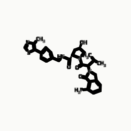 Cc1ncsc1-c1ccc(CNC(=O)[C@@H]2C[C@@H](O)CN2C(=O)C(C(C)C)N2Cc3cccc(P)c3C2=O)cc1